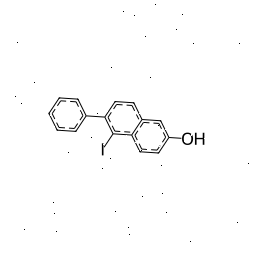 Oc1ccc2c(I)c(-c3ccccc3)ccc2c1